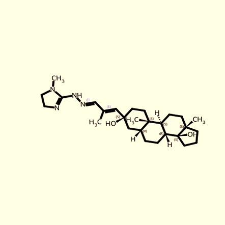 CC(/C=N/NC1=NCCN1C)=C\[C@]1(O)CC[C@@]2(C)[C@H](CC[C@@H]3[C@@H]2CC[C@]2(C)CCC[C@]32O)C1